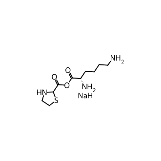 NCCCC[C@H](N)C(=O)OC(=O)C1NCCS1.[NaH]